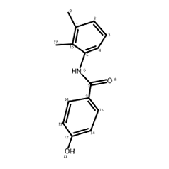 Cc1cccc(NC(=O)c2ccc(O)cc2)c1C